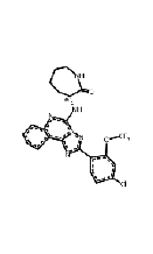 O=C1NCCCC[C@H]1Nc1nc2ccccc2c2nc(-c3ccc(Cl)cc3OC(F)(F)F)nn12